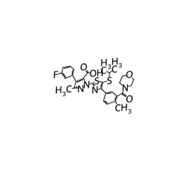 Cc1ccc(-c2nc(-n3nc(C)c(-c4cccc(F)c4)c3C(=O)O)sc2SC(C)C)cc1C(=O)N1CCOCC1